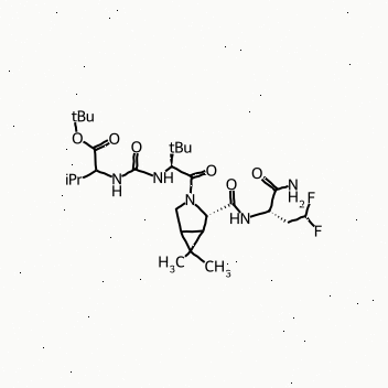 CC(C)C(NC(=O)N[C@H](C(=O)N1CC2C([C@H]1C(=O)N[C@@H](CC(F)F)C(N)=O)C2(C)C)C(C)(C)C)C(=O)OC(C)(C)C